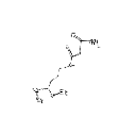 CCOC(CCCNC(=O)CC(N)=O)OCC